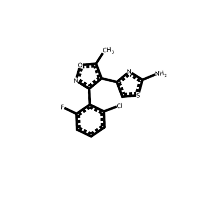 Cc1onc(-c2c(F)cccc2Cl)c1-c1csc(N)n1